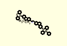 CC1(C)c2cc(/C=C/c3ccc4c(ccc5cc(N6c7ccccc7N(c7ccccc7)c7ccccc76)ccc54)c3)ccc2-c2ccc(N3c4ccccc4Sc4ccccc43)cc21